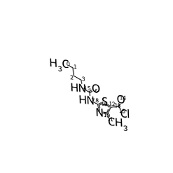 CCCCNC(=O)Nc1nc(C)c(C(=O)Cl)s1